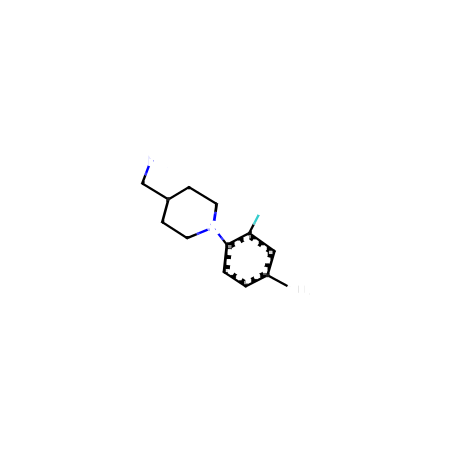 Cc1ccc(N2CCC(CN)CC2)c(F)c1